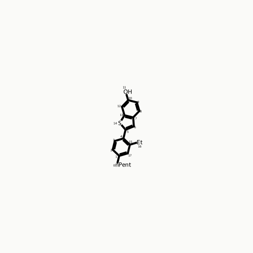 CCCCCc1ccc(-c2cc3ccc(O)cc3s2)c(CC)c1